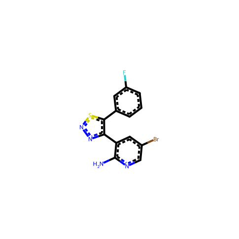 Nc1ncc(Br)cc1-c1nnsc1-c1cccc(F)c1